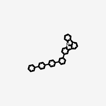 c1ccc(-c2ccc(-c3ccc(-c4cccc(-c5ccc6c(c5)c5cccc7c8ccccc8n6c75)c4)cc3)cc2)cc1